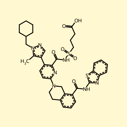 Cc1c(-c2ccc(N3CCc4cccc(C(=O)Nc5nc6ccccc6s5)c4C3)nc2C(=O)NS(=O)(=O)CCCC(=O)O)cnn1CC1CCCCC1